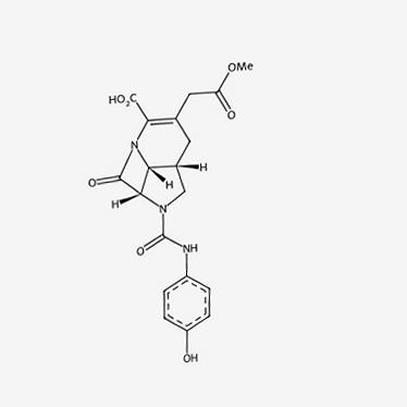 COC(=O)CC1=C(C(=O)O)N2C(=O)[C@@H]3[C@H]2[C@H](C1)CN3C(=O)Nc1ccc(O)cc1